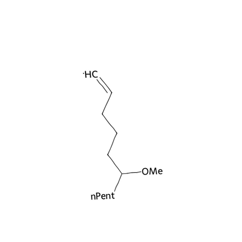 [CH]=CCCCC(CCCCC)OC